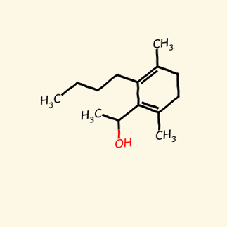 CCCCC1=C(C)CCC(C)=C1C(C)O